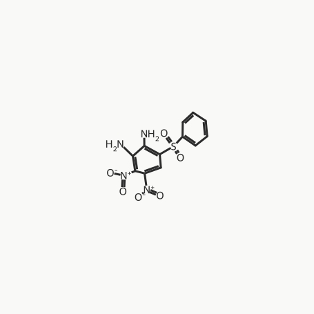 Nc1c(S(=O)(=O)c2ccccc2)cc([N+](=O)[O-])c([N+](=O)[O-])c1N